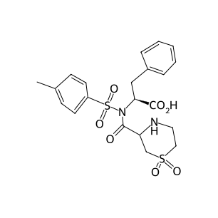 Cc1ccc(S(=O)(=O)N(C(=O)C2CS(=O)(=O)CCN2)[C@@H](Cc2ccccc2)C(=O)O)cc1